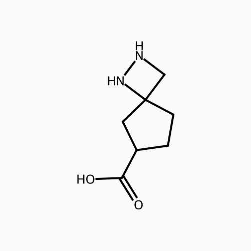 O=C(O)C1CCC2(CNN2)C1